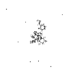 CC=Cc1cccc(OCC2(CC3CCCCC3)NC(=N)N(C)C2=O)c1